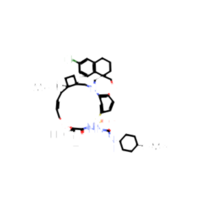 CO[C@H]1C=CCOC(C)(C)C(=O)N=[S@](=O)(NC(=O)N[C@H]2CC[C@H](OC)CC2)c2ccc3c(c2)N(C[C@@H]2CC[C@H]21)C[C@@]1(CCCc2cc(Cl)ccc21)CO3